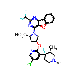 CC(=O)N1CC[C@](F)(c2cc(Cl)cnc2O[C@H]2C[C@@H](C(=O)O)N(c3nc(C(F)F)nc4c3oc3ccccc34)C2)[C@@H](C)C1